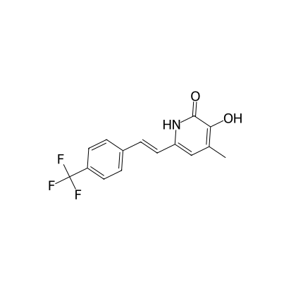 Cc1cc(C=Cc2ccc(C(F)(F)F)cc2)[nH]c(=O)c1O